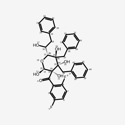 O=C(c1cc(F)ccc1F)[C@@]1(O)[C@@H](O)O[C@H](C(O)Cc2ccccc2)[C@](O)(Cc2ccccc2)[C@@]1(O)Cc1ccccc1